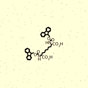 O=C(N[C@@H](CCCCCC[C@H](NC(=O)OCC1c2ccccc2-c2ccccc21)C(=O)O)C(=O)O)OCC1c2ccccc2-c2ccccc21